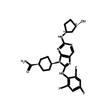 NC(=O)[C@H]1CC[C@@H](n2c(Nc3c(F)cc(F)cc3F)nc3cnc(N[C@H]4CC[C@H](O)C4)nc32)CC1